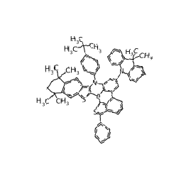 CC(C)(C)c1ccc(N2c3cc(N4c5ccccc5C(C)(C)c5ccccc54)cc4c3B(c3sc5cc6c(cc5c32)C(C)(C)CCC6(C)C)c2sc(-c3ccccc3)c3cccc-4c23)cc1